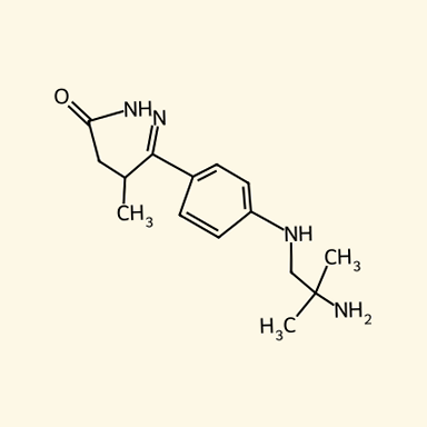 CC1CC(=O)NN=C1c1ccc(NCC(C)(C)N)cc1